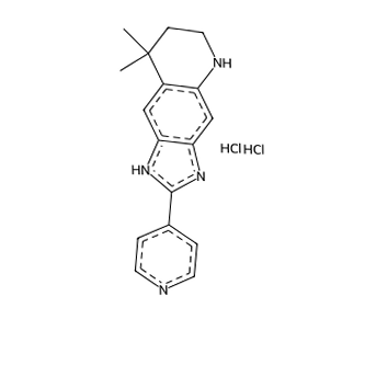 CC1(C)CCNc2cc3nc(-c4ccncc4)[nH]c3cc21.Cl.Cl